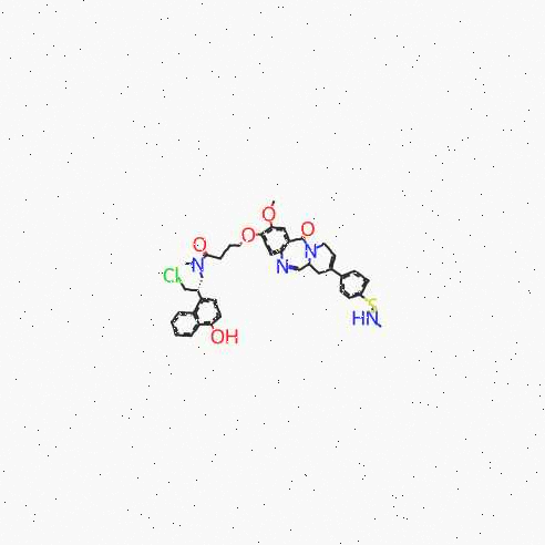 CNSc1ccc(C2=CCN3C(=O)c4cc(OC)c(OCCCC(=O)N(C)C[C@@H](CCl)c5ccc(O)c6ccccc56)cc4N=CC3C2)cc1